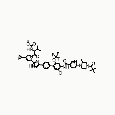 COC(=O)N[C@H](C(=O)N1CC(C2CC2)=CC1c1nc(-c2ccc(-c3cc(Cl)c(NC(=O)c4ccc(N5CCN(C(=O)C(C)(C)C)CC5C)nc4)cc3OC(F)(F)F)cc2)c[nH]1)C(C)C